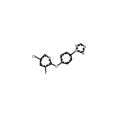 Fc1cc(Cl)cnc1Oc1ccc(-n2ncnn2)cc1